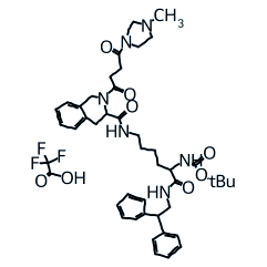 CN1CCN(C(=O)CCC(=O)N2Cc3ccccc3CC2C(=O)NCCCCC(NC(=O)OC(C)(C)C)C(=O)NCC(c2ccccc2)c2ccccc2)CC1.O=C(O)C(F)(F)F